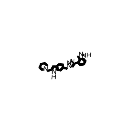 c1cc(-c2cn(Cc3ccc4cc(CN5CCCCC5)[nH]c4c3)nn2)c2cn[nH]c2c1